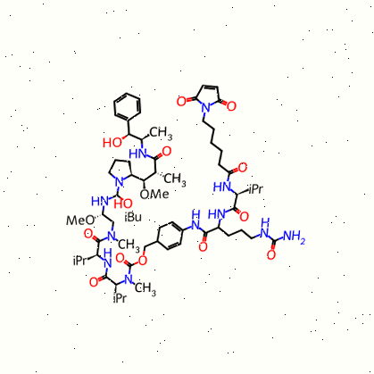 CC[C@H](C)C([C@@H](NC(O)N1CCC[C@H]1[C@H](OC)[C@@H](C)C(=O)N[C@H](C)[C@@H](O)c1ccccc1)OC)N(C)C(=O)[C@@H](NC(=O)[C@H](C(C)C)N(C)C(=O)OCC1C=CC(NC(=O)C(CCCNC(N)=O)NC(=O)[C@@H](NC(=O)CCCCCN2C(=O)C=CC2=O)C(C)C)=CC1)C(C)C